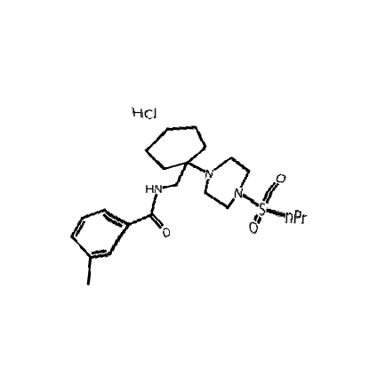 CCCS(=O)(=O)N1CCN(C2(CNC(=O)c3cccc(C)c3)CCCCC2)CC1.Cl